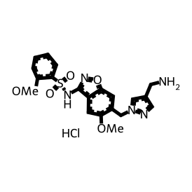 COc1cc2c(NS(=O)(=O)c3ccccc3OC)noc2cc1Cn1cc(CN)cn1.Cl